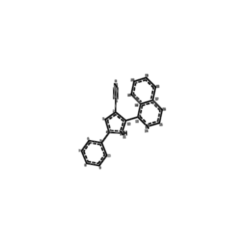 N#Cc1cc(-c2ccccc2)[nH]c1-c1nccc2ccccc12